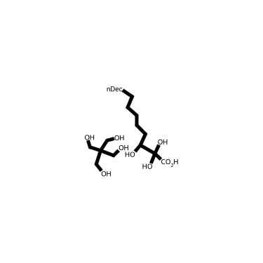 CCCCCCCCCCCCCCCC(O)C(O)(O)C(=O)O.OCC(CO)(CO)CO